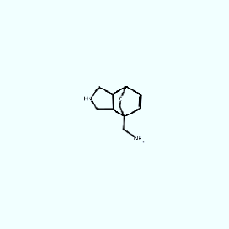 NCC12C=CC(CC1)C1CNCC12